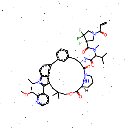 C=CC(=O)N1CC(F)(F)[C@](F)(C(=O)N(C)C(C(=O)N[C@H]2Cc3cccc(c3)-c3ccc4c(c3)c(c(-c3cccnc3[C@H](C)OC)n4CC)CC(C)(C)COC(=O)[C@@H]3CCCN(N3)C2=O)C(C)C)C1